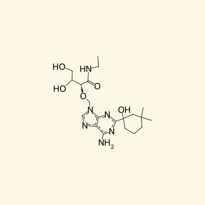 CCNC(=O)[C@@H](OCn1cnc2c(N)nc(C3(O)CCCC(C)(C)C3)nc21)C(O)CO